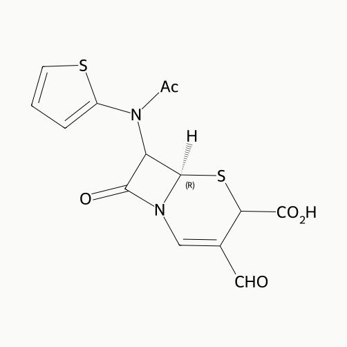 CC(=O)N(c1cccs1)C1C(=O)N2C=C(C=O)C(C(=O)O)S[C@H]12